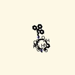 C/C=C1\NC(=O)c2cccc(n2)CNC(=O)C[C@@H](/C=C/CCSC(c2ccccc2)(c2ccccc2)c2ccccc2)OC(=O)[C@H](C(C)C)NC1=O